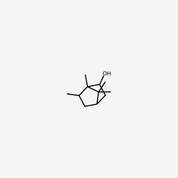 CC1CC2CC(O)C1(C)C2(C)C